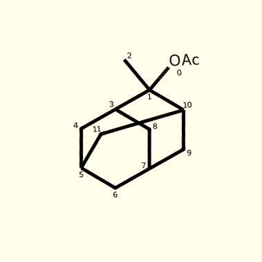 CC(=O)OC1(C)C2CC3CC(C2)CC1C3